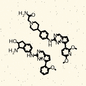 COc1ccc(-c2ccc3cnc(Nc4ccc(C5CCN(CC(N)=O)CC5)cc4)nn23)c(OC)n1.COc1ccccc1-c1ccc2cnc(Nc3ccc4c(c3)C(N)C(O)C4)nn12